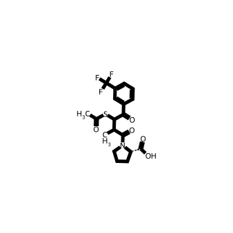 CC(=O)SC(C(=O)c1cccc(C(F)(F)F)c1)C(C)C(=O)N1CCC[C@H]1C(=O)O